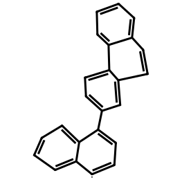 [c]1ccc(-c2ccc3c(ccc4ccccc43)c2)c2ccccc12